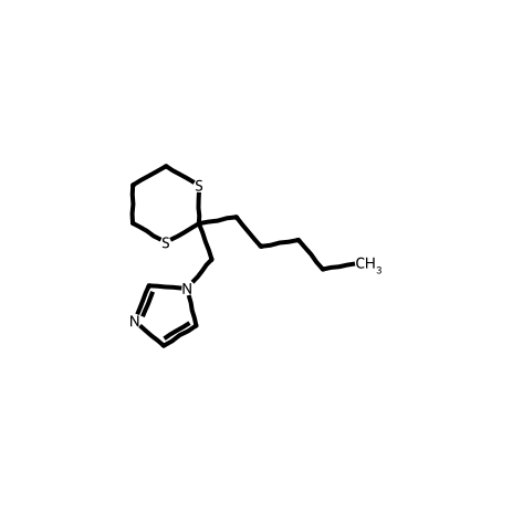 CCCCCC1(Cn2ccnc2)SCCCS1